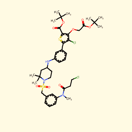 CN(C(=O)CCCl)c1cccc(CS(=O)(=O)N2CCC(Nc3cccc(-c4sc(C(=O)OC(C)(C)C)c(OCC(=O)OC(C)(C)C)c4Cl)c3)CC2(C)C)c1